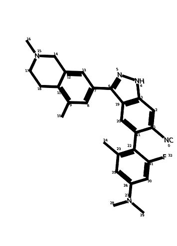 [C-]#[N+]c1cc2[nH]nc(-c3cc(C)c4c(c3)CN(C)CC4)c2cc1-c1c(C)cc(N(C)C)cc1F